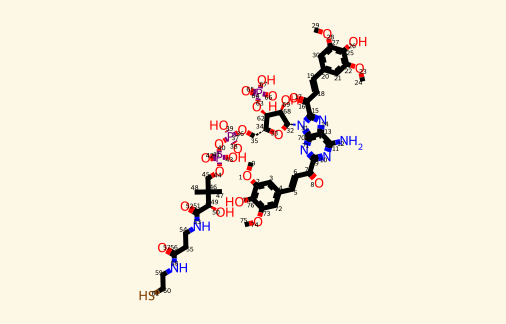 COc1cc(/C=C/C(=O)c2nc(N)c3nc(C(=O)/C=C/c4cc(OC)c(O)c(OC)c4)n([C@@H]4O[C@H](COP(=O)(O)OP(=O)(O)OCC(C)(C)[C@@H](O)C(=O)NCCC(=O)NCCS)[C@@H](OP(=O)(O)O)[C@H]4O)c3n2)cc(OC)c1O